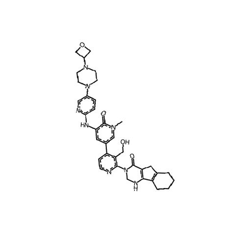 Cn1cc(-c2ccnc(N3CNC4=C(CC5=C4CCCC5)C3=O)c2CO)cc(Nc2ccc(N3CCN(C4COC4)CC3)cn2)c1=O